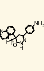 Nc1ccc(C2=NNC(=O)C(c3cccc4ncccc34)(C(F)(F)F)C2)cc1